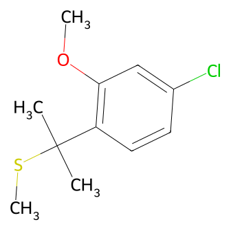 COc1cc(Cl)ccc1C(C)(C)SC